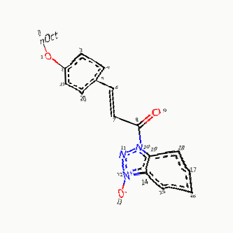 CCCCCCCCOc1ccc(C=CC(=O)n2n[n+]([O-])c3ccccc32)cc1